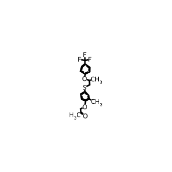 CC(=O)COc1ccc(SCC(C)Oc2ccc(C(F)(F)F)cc2)cc1C